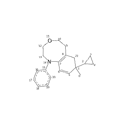 CC1(C2CC2)C=CC2=C(CCOCCN2c2ccccc2)C1